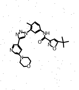 Cc1ccc(NC(=O)c2cc(C(C)(C)C)on2)cc1-n1cc(-c2cncc(N3CCOCC3)c2)nn1